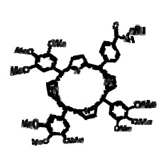 CCCCNC(=O)c1ccc(-c2c3nc(c(-c4cc(OC)c(OC)c(OC)c4)c4ccc([nH]4)c(-c4cc(OC)c(OC)c(OC)c4)c4nc(c(-c5cc(OC)c(OC)c(OC)c5)c5ccc2[nH]5)C=C4)C=C3)cc1